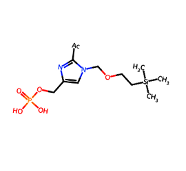 CC(=O)c1nc(COP(=O)(O)O)cn1COCC[Si](C)(C)C